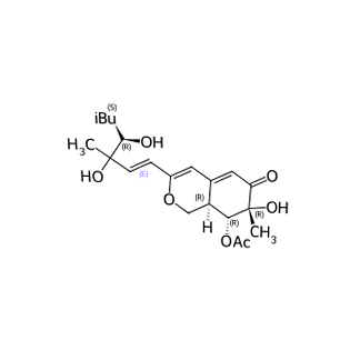 CC[C@H](C)[C@@H](O)C(C)(O)/C=C/C1=CC2=CC(=O)[C@](C)(O)[C@H](OC(C)=O)[C@H]2CO1